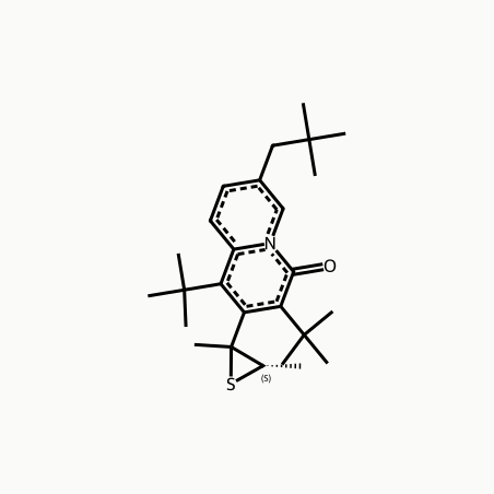 C[C@@H]1SC1(C)c1c(C(C)(C)C)c(=O)n2cc(CC(C)(C)C)ccc2c1C(C)(C)C